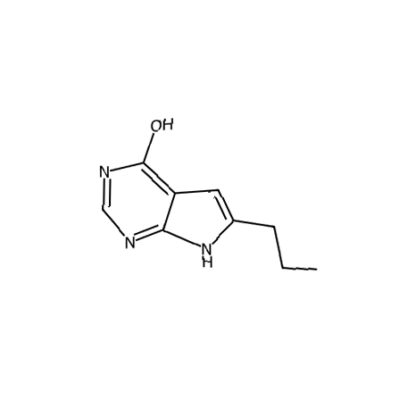 CCCc1cc2c(O)ncnc2[nH]1